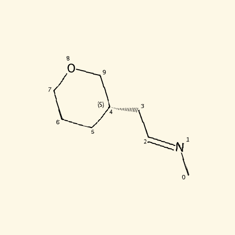 CN=CC[C@@H]1CCCOC1